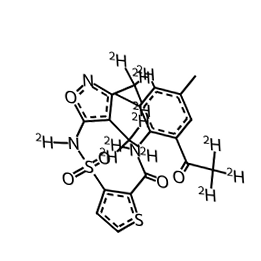 [2H]c1c(C)cc(C(=O)C([2H])([2H])[2H])c(N([2H])C(=O)c2sccc2S(=O)(=O)N([2H])c2onc(C([2H])([2H])[2H])c2C([2H])([2H])[2H])c1C